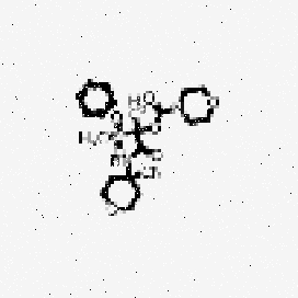 CC(OC(=O)N1CCOCC1)(C(=O)NC1(C#N)CCOCC1)S(C)(=O)=O.c1ccccc1